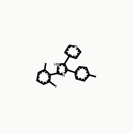 Cc1ccc(-c2nc(-c3c(C)cccc3F)[nH]c2-c2ccncc2)cc1